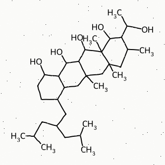 CC(C)CC(CC(C)C)CC1CCC(O)C2C(O)C3C(O)C4(C)C(O)C(C(C)O)C(C)CC4(C)CC3(C)CC12